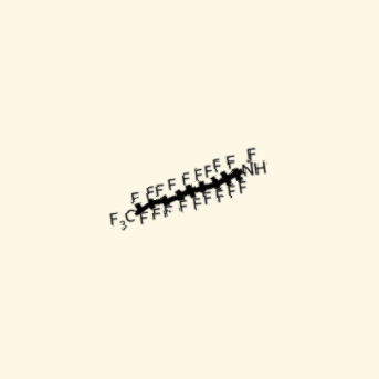 FNC(F)(F)C(F)(F)C(F)(F)C(F)(F)C(F)(F)C(F)(F)C(F)(F)C(F)(F)C(F)(F)C(F)(F)F